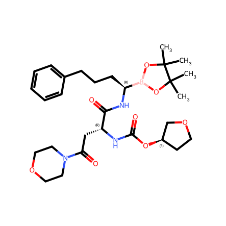 CC1(C)OB([C@H](CCCc2ccccc2)NC(=O)[C@@H](CC(=O)N2CCOCC2)NC(=O)O[C@@H]2CCOC2)OC1(C)C